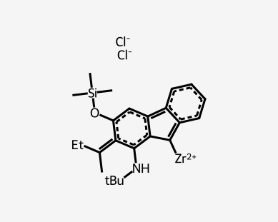 CCC(C)=c1c(O[Si](C)(C)C)cc2c(c1NC(C)(C)C)[C]([Zr+2])=c1ccccc1=2.[Cl-].[Cl-]